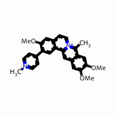 COc1cc2cc3c4cc(-c5cc[n+](C)cc5)c(OC)cc4cc[n+]3c(C)c2cc1OC